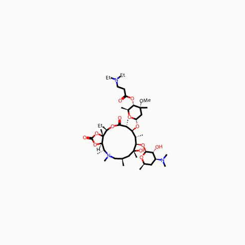 CC[C@H]1OC(=O)[C@H](C)[C@@H](O[C@H]2C[C@@](C)(OC)[C@@H](OC(=O)CCN(CC)CC)[C@H](C)O2)[C@H](C)[C@@H](O[C@@H]2O[C@H](C)C[C@H](N(C)C)[C@H]2O)[C@](C)(O)C[C@@H](C)CN(C)[C@H](C)[C@H]2OC(=O)O[C@@]21C